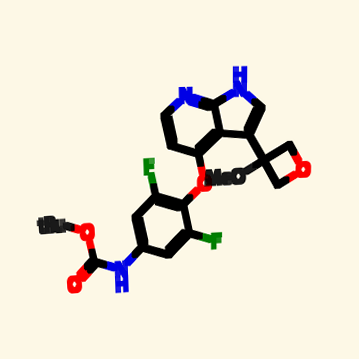 COC1(c2c[nH]c3nccc(Oc4c(F)cc(NC(=O)OC(C)(C)C)cc4F)c23)COC1